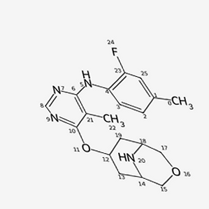 Cc1ccc(Nc2ncnc(OC3CC4COCC(C3)N4)c2C)c(F)c1